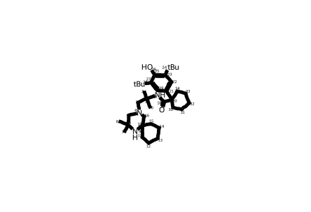 CC(C)(CN1CC(C)(C)NC2(CCCCC2)C1)NC(=O)C1(c2cc(C(C)(C)C)c(O)c(C(C)(C)C)c2)CCCCC1